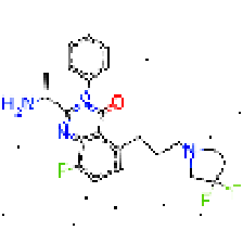 C[C@H](N)c1nc2c(F)ccc(CCCN3CCC(F)(F)C3)c2c(=O)n1-c1ccccc1